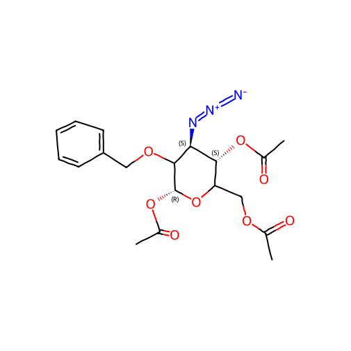 CC(=O)OCC1O[C@H](OC(C)=O)C(OCc2ccccc2)[C@@H](N=[N+]=[N-])[C@@H]1OC(C)=O